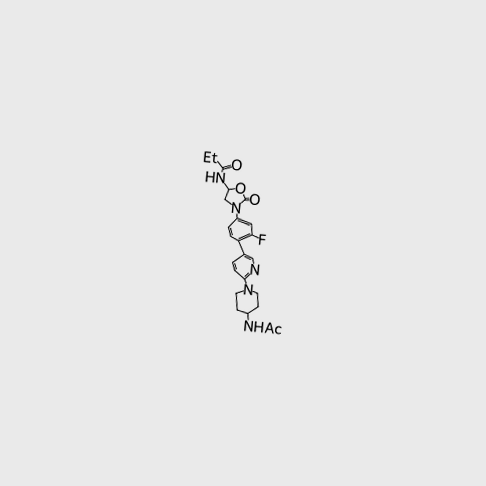 CCC(=O)NC1CN(c2ccc(-c3ccc(N4CCC(NC(C)=O)CC4)nc3)c(F)c2)C(=O)O1